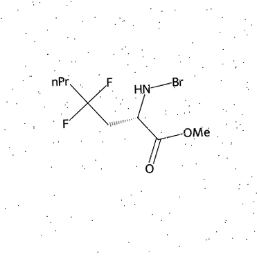 CCCC(F)(F)C[C@H](NBr)C(=O)OC